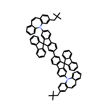 CC(C)(C)Cc1ccc2c(c1)C=Cc1ccccc1N2c1ccc2c(c1)C1(c3ccccc3-c3ccccc31)c1cc(-c3ccc4c(c3)C3(c5ccccc5-c5ccccc53)c3cc(N5c6ccccc6C=Cc6ccc(CC(C)(C)C)cc65)ccc3-4)ccc1-2